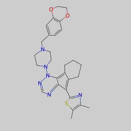 Cc1nc(-c2c3ncnn(N4CCN(Cc5ccc6c(c5)OCCO6)CC4)c-3c3c2CCCC3)sc1C